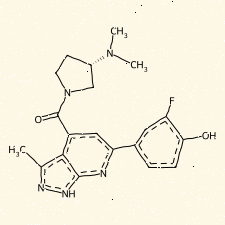 Cc1n[nH]c2nc(-c3ccc(O)c(F)c3)cc(C(=O)N3CC[C@H](N(C)C)C3)c12